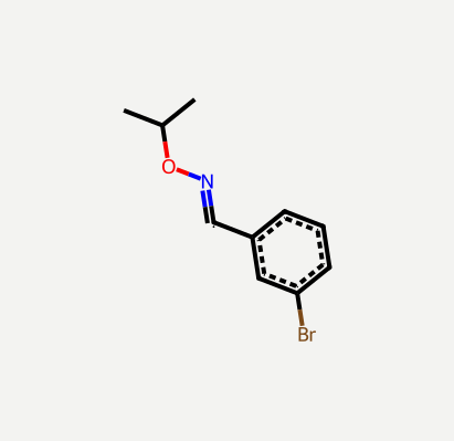 CC(C)O/N=[C]/c1cccc(Br)c1